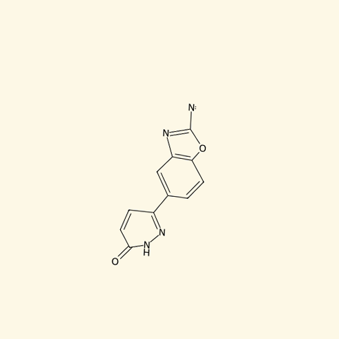 [N]c1nc2cc(-c3ccc(=O)[nH]n3)ccc2o1